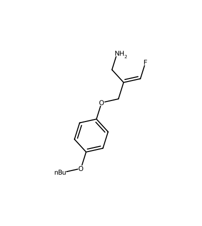 CCCCOc1ccc(OCC(=CF)CN)cc1